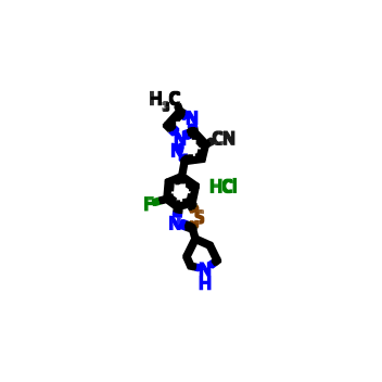 Cc1cn2nc(-c3cc(F)c4nc(C5CCNCC5)sc4c3)cc(C#N)c2n1.Cl